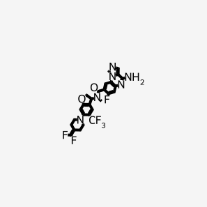 CN(C(=O)c1cc2c(cc1F)nc(N)c1cncn12)C1COc2cc(N3CCC(=C(F)F)CC3)c(C(F)(F)F)cc21